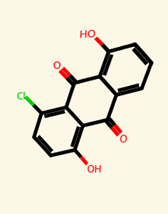 O=C1c2cccc(O)c2C(=O)c2c(Cl)ccc(O)c21